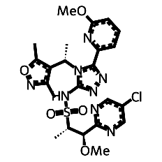 COc1cccc(-c2nnc(NS(=O)(=O)[C@@H](C)[C@H](OC)c3ncc(Cl)cn3)n2[C@@H](C)c2c(C)noc2C)n1